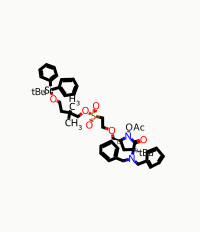 CC(=O)ON1C(=O)[C@](N(Cc2ccccc2)Cc2ccccc2)(C(C)(C)C)C[C@H]1COCCS(=O)(=O)OCC(C)(C)CCO[Si](c1ccccc1)(c1ccccc1)C(C)(C)C